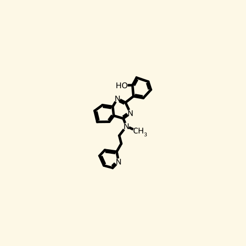 CN(CCc1ccccn1)c1nc(-c2ccccc2O)nc2ccccc12